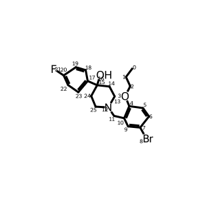 CCCOc1ccc(Br)cc1CN1CCC(O)(c2ccc(F)cc2)CC1